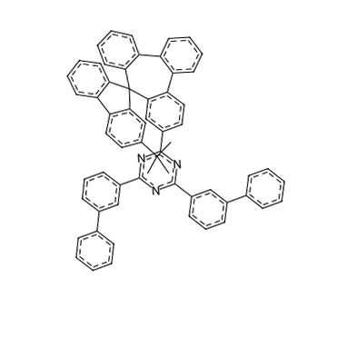 CC(C)(C)c1ccc2c(c1)C1(c3ccccc3-c3ccccc3-c3ccc(-c4nc(-c5cccc(-c6ccccc6)c5)nc(-c5cccc(-c6ccccc6)c5)n4)cc31)c1ccccc1-2